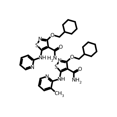 Cc1cccnc1Nc1snc(OCC2CCCCC2)c1C(N)=O.NC(=O)c1c(OCC2CCCCC2)nsc1Nc1ccccn1